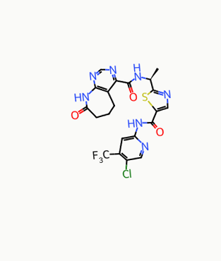 C[C@H](NC(=O)c1ncnc2c1CCCC(=O)N2)c1ncc(C(=O)Nc2cc(C(F)(F)F)c(Cl)cn2)s1